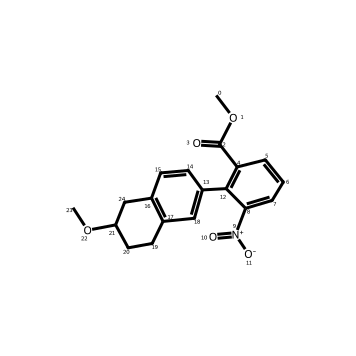 COC(=O)c1cccc([N+](=O)[O-])c1-c1ccc2c(c1)CCC(OC)C2